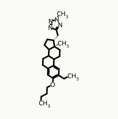 CCCCOc1cc2c(cc1CC)C1CC[C@@]3(C)C(CC[C@@H]3Cc3nnn(C)n3)C1CC2